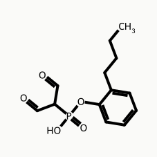 CCCCc1ccccc1OP(=O)(O)C(C=O)C=O